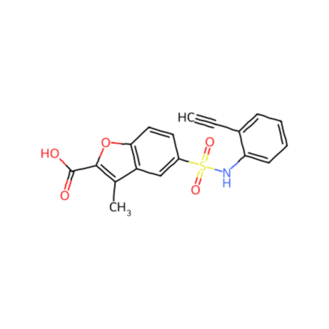 C#Cc1ccccc1NS(=O)(=O)c1ccc2oc(C(=O)O)c(C)c2c1